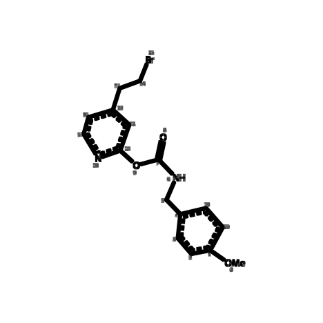 COc1ccc(CNC(=O)Oc2cc(CCBr)ccn2)cc1